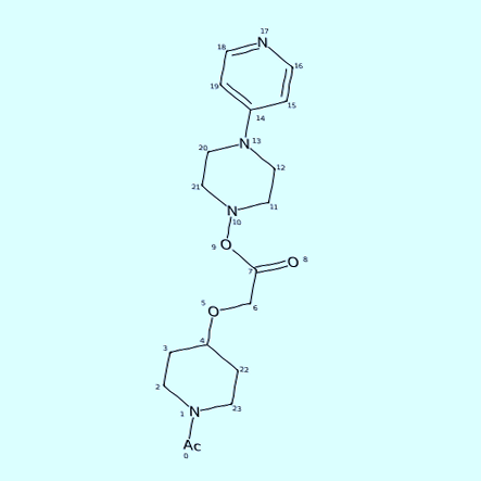 CC(=O)N1CCC(OCC(=O)ON2CCN(c3ccncc3)CC2)CC1